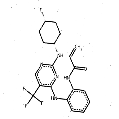 C=CC(=O)Nc1ccccc1Nc1nc(N[C@H]2CC[C@@H](F)CC2)ncc1C(F)(F)F